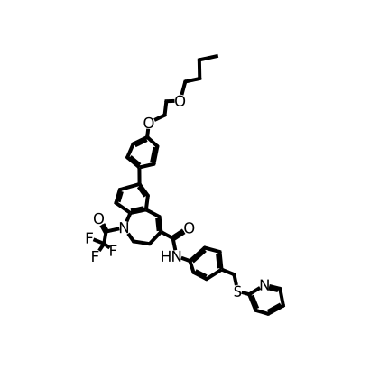 CCCCOCCOc1ccc(-c2ccc3c(c2)C=C(C(=O)Nc2ccc(CSc4ccccn4)cc2)CCN3C(=O)C(F)(F)F)cc1